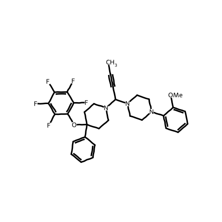 CC#CC(N1CCN(c2ccccc2OC)CC1)N1CCC(Oc2c(F)c(F)c(F)c(F)c2F)(c2ccccc2)CC1